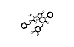 CCCN(C(=O)NCc1ccccc1)N1CC(=O)N2[C@@H](c3ccccc3)C(=O)N(Cc3ccc(Cl)c(Cl)c3)C[C@@H]21